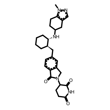 Cn1ncc2c1CCC(N[C@H]1CCCC[C@@H]1Cc1ccc3c(c1)CN(C1CCC(=O)NC1=O)C3=O)C2